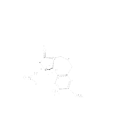 COc1ccc2c(c1)CCCN1C(=O)C[C@H]3[C@H](C[N+](=O)[O-])[C@@H](C)C[C@]231